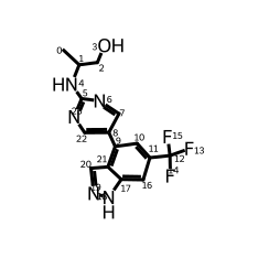 CC(CO)Nc1ncc(-c2cc(C(F)(F)F)cc3[nH]ncc23)cn1